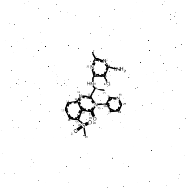 Cc1nc(N)c(Cl)c(N[C@@H](C)c2nc3cccc(S(C)(=O)=O)c3c(=O)n2-c2cccnc2)n1